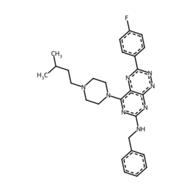 CC(C)CCN1CCN(c2nc(NCc3ccccc3)nc3nnc(-c4ccc(F)cc4)nc23)CC1